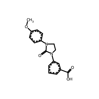 COc1ccc(N2CCN(c3cccc(C(=O)O)c3)C2=O)cc1